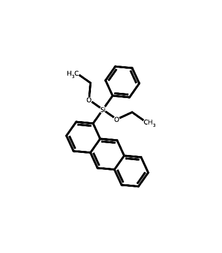 CCO[Si](OCC)(c1ccccc1)c1cccc2cc3ccccc3cc12